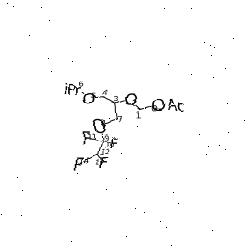 CC(=O)OCOC(COC(C)C)COC(F)(F)C(F)F